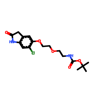 CC(C)(C)OC(=O)NCCOCCOc1cc2c(cc1Cl)NC(=O)C2